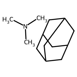 C1C2CC3CC1CC(C2)C3.CN(C)C